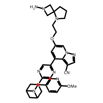 COc1ccc(CN2C3CC2CN(c2cnc(-c4cc(OCCN5CCCC56CN(N)C6)cn5ncc(C#N)c45)cn2)C3)cn1